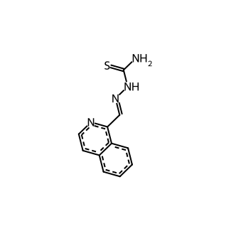 NC(=S)NN=Cc1nccc2ccccc12